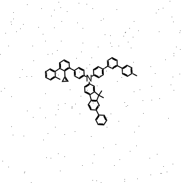 Cc1ccc(-c2cccc(-c3ccc(N(c4ccc(-c5cccc(-c6ccccc6C)c5C5=CC5)cc4)c4ccc5c(c4)C(C)(C)c4cc(-c6ccccc6)ccc4-5)cc3)c2)cc1